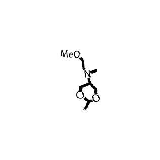 COCCN(C)C1COC(C)OC1